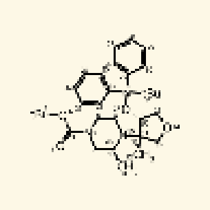 C[C@H]1CN(C(=O)OC(C)(C)C)CCN1[C@@]1(C)COC[C@H]1O[Si](c1ccccc1)(c1ccccc1)C(C)(C)C